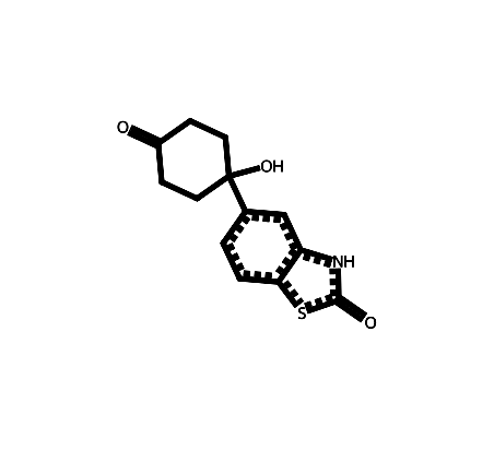 O=C1CCC(O)(c2ccc3sc(=O)[nH]c3c2)CC1